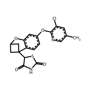 Cc1cnc(Oc2ccc3c(c2)OC2CC3(C3SC(=O)NC3=O)C2)c(Cl)c1